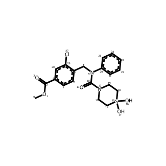 COC(=O)c1ccc(CN(C(=O)N2CCS(O)(O)CC2)c2ccccc2)c(Cl)c1